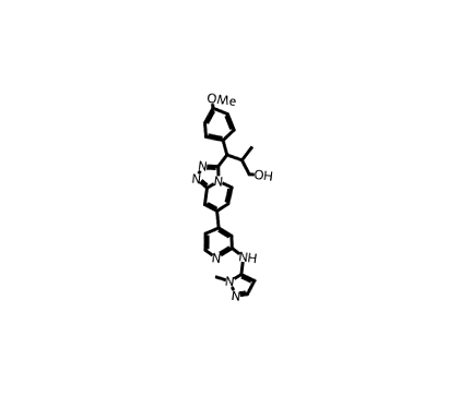 COc1ccc(C(c2nnc3cc(-c4ccnc(Nc5ccnn5C)c4)ccn23)C(C)CO)cc1